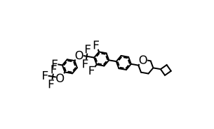 Fc1cc(OC(F)(F)c2c(F)cc(-c3ccc(C4CCC(C5CCC5)CO4)cc3)cc2F)ccc1OC(F)(F)F